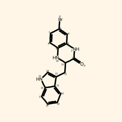 O=C1Nc2cc(Br)ccc2NC1Cc1c[nH]c2ccccc12